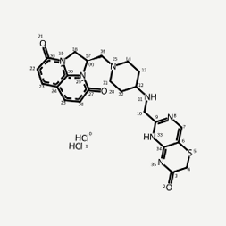 Cl.Cl.O=C1CSC2=CN=C(CNC3CCN(C[C@@H]4Cn5c(=O)ccc6ccc(=O)n4c65)CC3)NC2=N1